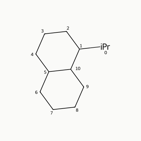 CC(C)C1CCCC2CCCCC21